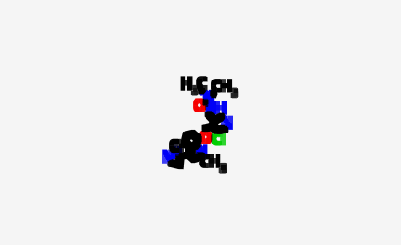 CCN(CC)C(=O)NCc1cncc(Cl)c1COc1cccc2c(-c3ccnn3C)cc(C)nc12